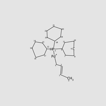 C/C=C/[CH2][Pd][PH](C1CCCCC1)(C1CCCCC1)C1CCCCC1